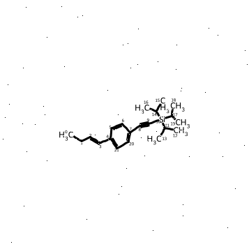 CC/C=C/c1ccc(C#C[Si](C(C)C)(C(C)C)C(C)C)cc1